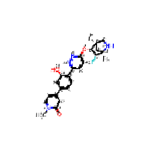 Cn1ccc(-c2ccc(-c3ccc(O[C@@H]4[C@H]5CN[C@H](C5)[C@H]4F)nn3)c(O)c2)cc1=O